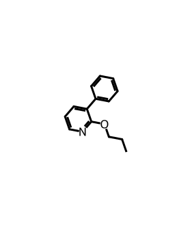 CCCOc1ncccc1-c1ccccc1